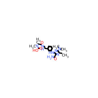 CCc1nc(C(N)=O)c(Nc2cccc(CCNC(=O)C(C)N(C)C(=O)O)c2)nc1N(C)C